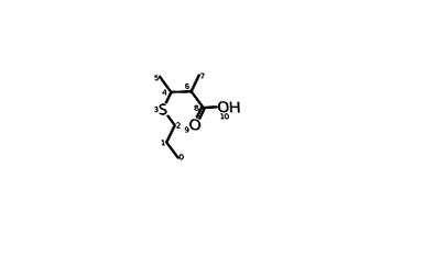 CCCSC(C)C(C)C(=O)O